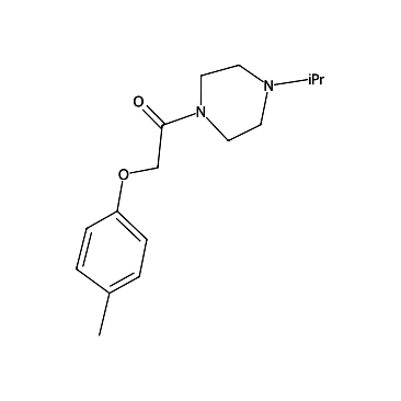 Cc1ccc(OCC(=O)N2CCN(C(C)C)CC2)cc1